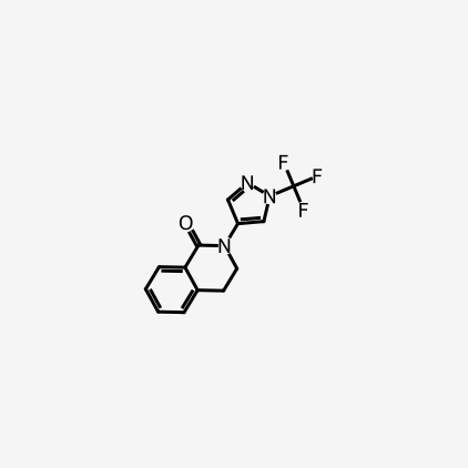 O=C1c2ccccc2CCN1c1cnn(C(F)(F)F)c1